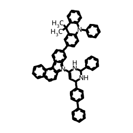 CC1(C)c2ccccc2N(c2ccccc2)c2ccc(-c3ccc4c5c6ccccc6ccc5n(C5=CC(c6ccc(-c7ccccc7)cc6)NC(c6ccccc6)N5)c4c3)cc21